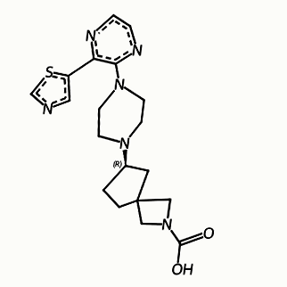 O=C(O)N1CC2(CC[C@@H](N3CCN(c4nccnc4-c4cncs4)CC3)C2)C1